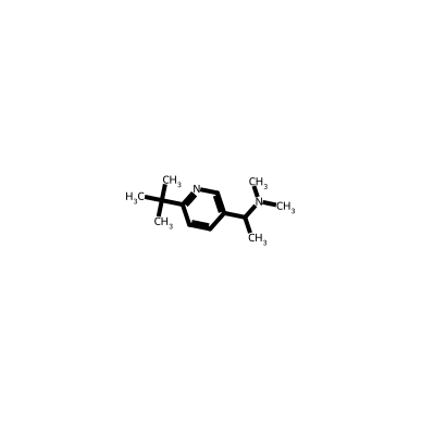 CC(c1ccc(C(C)(C)C)nc1)N(C)C